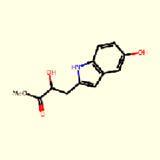 COC(=O)C(O)Cc1cc2cc(O)ccc2[nH]1